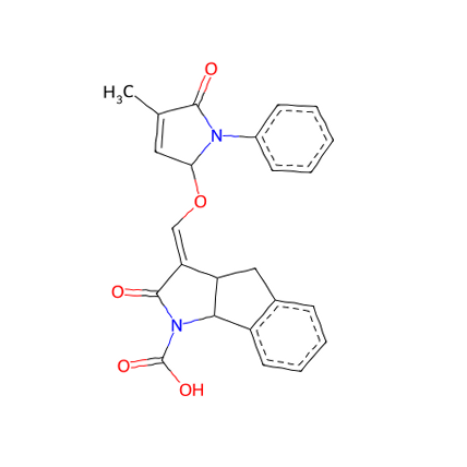 CC1=CC(OC=C2C(=O)N(C(=O)O)C3c4ccccc4CC23)N(c2ccccc2)C1=O